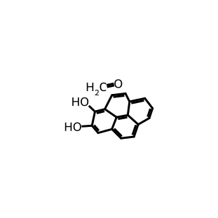 C=O.Oc1cc2ccc3cccc4ccc(c1O)c2c34